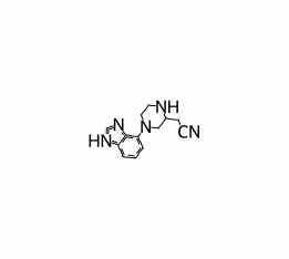 N#CCC1CN(c2cccc3[nH]cnc23)CCN1